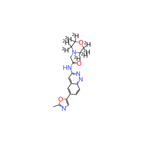 [2H]C1([2H])OC([2H])([2H])C([2H])([2H])N(CC(=O)Nc2cc3cc(-c4cnc(C)o4)ccc3nn2)C1([2H])[2H]